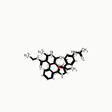 CCOC(=O)C1=C(C)NC(C)=C(C(=O)OCC)C1c1ccccc1-c1nc(-c2ccc(NC(C)=O)cc2)cs1